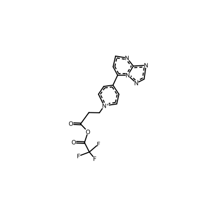 O=C(CC[n+]1ccc(-c2ccnc3ncnn23)cc1)OC(=O)C(F)(F)F